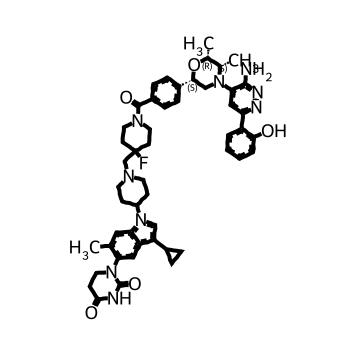 Cc1cc2c(cc1N1CCC(=O)NC1=O)c(C1CC1)cn2C1CCN(CC2(F)CCN(C(=O)c3ccc([C@H]4CN(c5cc(-c6ccccc6O)nnc5N)[C@@H](C)[C@@H](C)O4)cc3)CC2)CC1